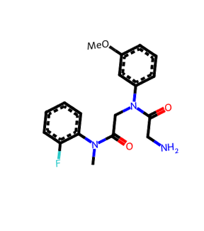 COc1cccc(N(CC(=O)N(C)c2ccccc2F)C(=O)CN)c1